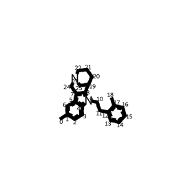 Cc1ccc2c(c1)c1c(n2CCc2ccccc2C)C2CCCN(C1)C2